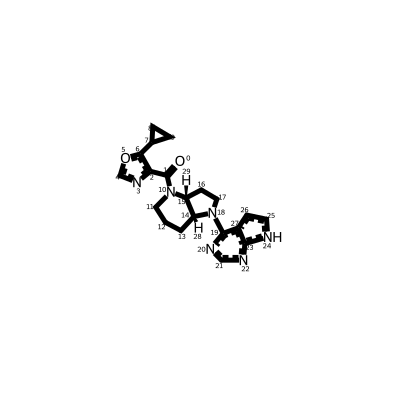 O=C(c1ncoc1C1CC1)N1CCC[C@@H]2[C@H]1CCN2c1ncnc2[nH]ccc12